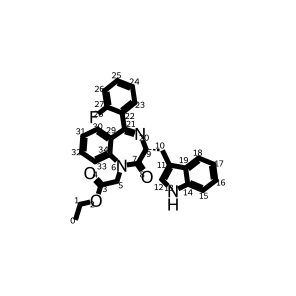 CCOC(=O)CN1C(=O)[C@@H](Cc2c[nH]c3ccccc23)N=C(c2ccccc2F)c2ccccc21